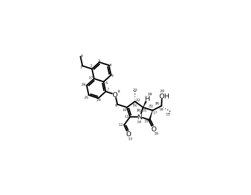 CCc1cccc2c(OCC3=C(C=O)N4C(=O)[C@H]([C@@H](C)O)[C@H]4[C@H]3C)cccc12